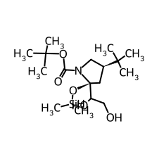 C[SiH](C)O[C@]1(C(O)CO)C[C@H](C(C)(C)C)CN1C(=O)OC(C)(C)C